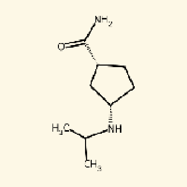 CC(C)N[C@H]1CC[C@@H](C(N)=O)C1